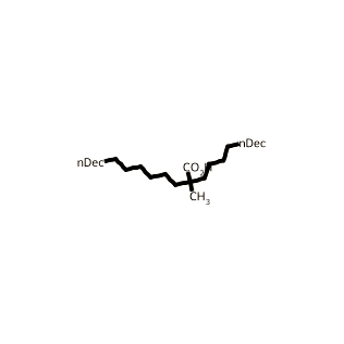 CCCCCCCCCCCCCCCCC(C)(CCCCCCCCCCCCCC)C(=O)O